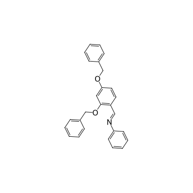 C(=N\c1ccccc1)/c1ccc(OCc2ccccc2)cc1OCc1ccccc1